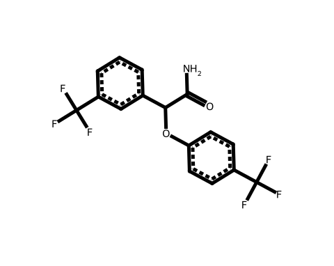 NC(=O)C(Oc1ccc(C(F)(F)F)cc1)c1cccc(C(F)(F)F)c1